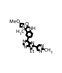 CCn1c(-c2cnc(C)nc2)nc2c(-c3ccc4c(c3)[C@@](C)(N3CC(OC)C3)C(=O)N4)ncnc21